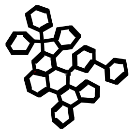 c1ccc(-c2cccc(N(c3cccc4c3-c3ccccc3C4(c3ccccc3)c3ccccc3)c3c(-c4ccccc4)c4ccccc4c4ccccc34)c2)cc1